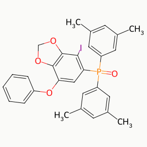 Cc1cc(C)cc(P(=O)(c2cc(C)cc(C)c2)c2cc(Oc3ccccc3)c3c(c2I)OCO3)c1